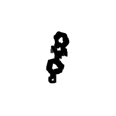 Clc1ccc(-n2nc3ccccc3n2)cc1